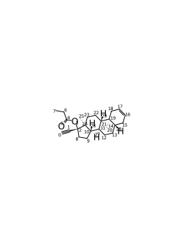 C#C[C@]1(OC(=O)CC)CC[C@H]2[C@@H]3CC[C@H]4CC=CC[C@]4(C)[C@H]3CC[C@@]21C